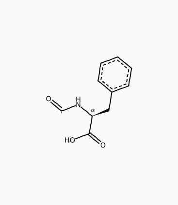 O=[C]N[C@@H](Cc1ccccc1)C(=O)O